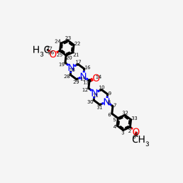 COc1ccc(CCN2CCN(CC(=O)N3CCN(Cc4ccccc4OC)CC3)CC2)cc1